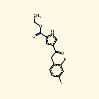 CCOC(=O)c1cc(C(=O)Cc2ccc(F)cc2F)c[nH]1